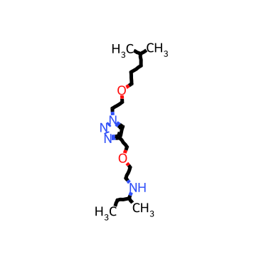 CCC(C)NCCOCc1cn(CCOCCCC(C)C)nn1